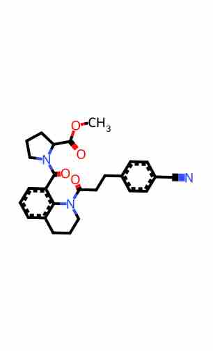 COC(=O)C1CCCN1C(=O)c1cccc2c1N(C(=O)CCc1ccc(C#N)cc1)CCC2